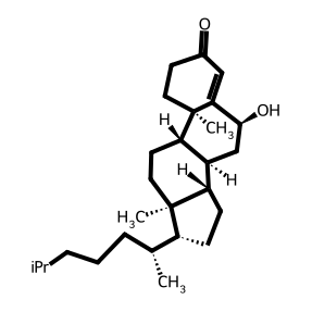 CC(C)CCC[C@@H](C)[C@H]1CC[C@H]2[C@@H]3C[C@H](O)C4=CC(=O)CC[C@]4(C)[C@H]3CC[C@]12C